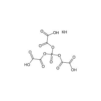 O=C(O)C(=O)OP(=O)(OC(=O)C(=O)O)OC(=O)C(=O)O.[KH]